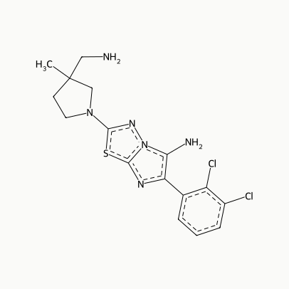 CC1(CN)CCN(c2nn3c(N)c(-c4cccc(Cl)c4Cl)nc3s2)C1